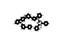 c1ccc(C2=NC(n3c4ccccc4c4cc(-c5ccc6sc7cc8c9ccccc9n(-c9cccc(-c%10ccccc%10)c9)c8cc7c6c5)ccc43)=NC(c3ccccc3)N2)cc1